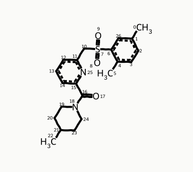 Cc1ccc(C)c(S(=O)(=O)Cc2cccc(C(=O)N3CCC(C)CC3)n2)c1